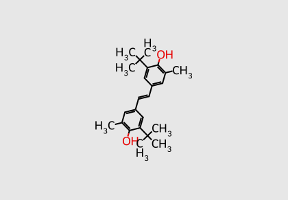 Cc1cc(/C=C/c2cc(C)c(O)c(C(C)(C)C)c2)cc(C(C)(C)C)c1O